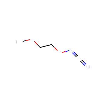 COCCON=C=N